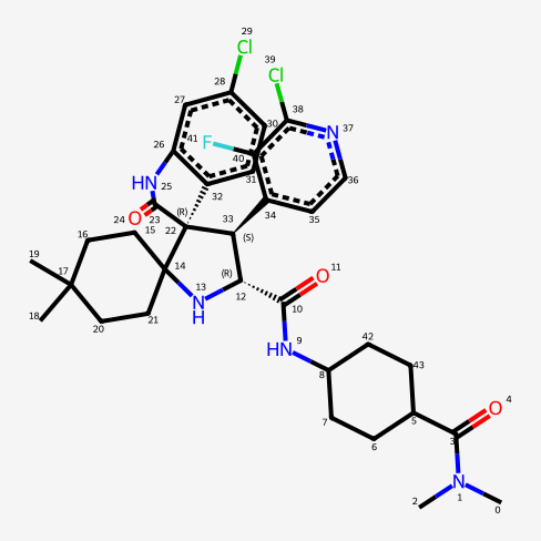 CN(C)C(=O)C1CCC(NC(=O)[C@@H]2NC3(CCC(C)(C)CC3)[C@@]3(C(=O)Nc4cc(Cl)ccc43)[C@H]2c2ccnc(Cl)c2F)CC1